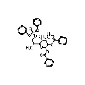 C[C@H](COP(=O)(Oc1ccccc1)Oc1ccccc1)C1O[C@H](OC(=O)c2ccccc2)C(OC(=O)c2ccccc2)[C@@H](C)[C@@H]1C